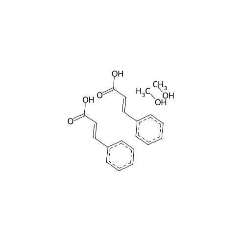 CO.CO.O=C(O)C=Cc1ccccc1.O=C(O)C=Cc1ccccc1